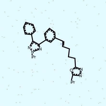 CC(C)c1nnc(CCC/C=C/c2cccc(-c3nn(C(C)C)nc3-c3ccccc3)c2)o1